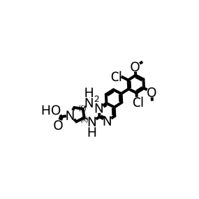 COc1cc(OC)c(Cl)c(-c2ccc3nc(N[C@@H]4CN(C(=O)O)C[C@@H]4N)ncc3c2)c1Cl